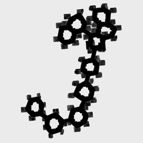 c1ccc(-c2cccc(-c3cccc(-c4ccc(-c5ccc(-c6nc(-c7cccc8ccccc78)c7c(ccc8ccccc87)n6)cc5)cc4)c3)c2)cc1